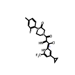 Cc1ccc(N2CCN(C(=O)C(=N)/C(Cl)=C3/C=C(C4CC4)C=C(C(F)(F)F)N3)CC2=O)c(F)c1